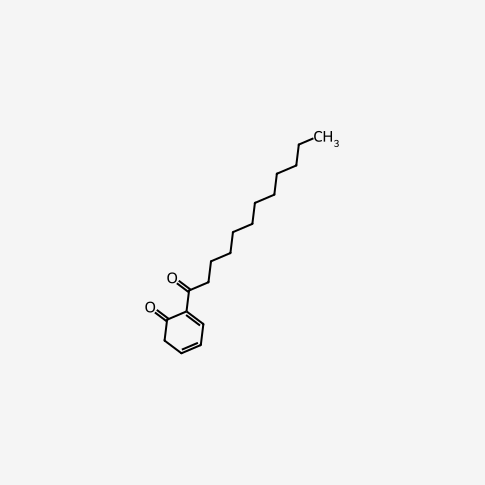 CCCCCCCCCCCC(=O)C1=CC=CCC1=O